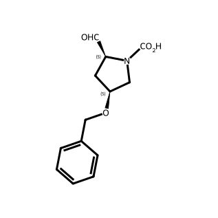 O=C[C@@H]1C[C@H](OCc2ccccc2)CN1C(=O)O